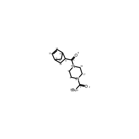 CC(C)(C)C(=O)N1CCN(C(=O)C2CC3C=CC2C3)CC1